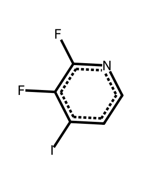 Fc1nccc(I)c1F